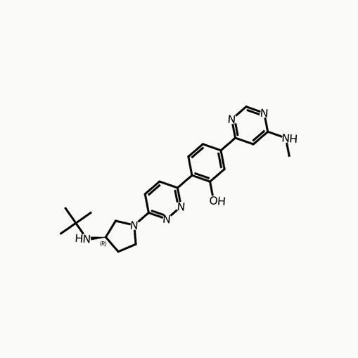 CNc1cc(-c2ccc(-c3ccc(N4CC[C@@H](NC(C)(C)C)C4)nn3)c(O)c2)ncn1